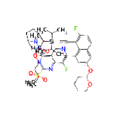 CCCCOC(=O)N1C2CCC1CN(c1nc(S(C)(=O)=O)nc3c(F)c(-c4cc(OC5CCCCO5)cc5ccc(F)c(C#C[Si](C(C)C)(C(C)C)C(C)C)c45)ncc13)C2